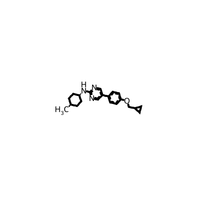 C[C@H]1CC[C@H](Nc2ncc(-c3ccc(OCC4CC4)cc3)cn2)CC1